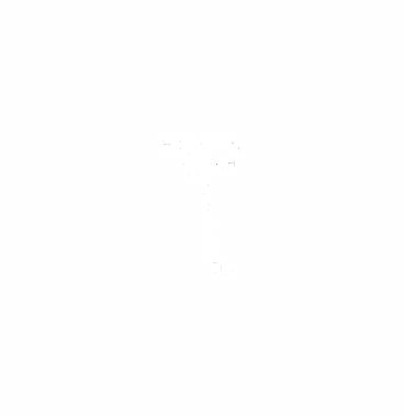 CCCCCCCCC[C@@H]1OC[C@@H](C)[C@H](OC)[C@@H]1O